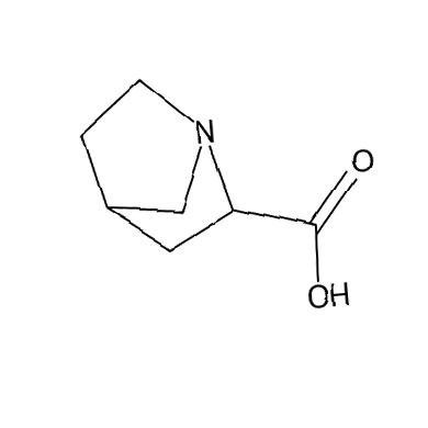 O=C(O)C1CC2CCN1C2